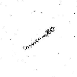 CCCCCCCC/C=C/CCCCCCCC(=O)c1nc(-c2cccnc2)co1